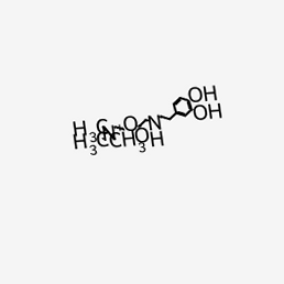 C[N+](C)(C)CCOC(=O)CNCCc1ccc(O)c(O)c1